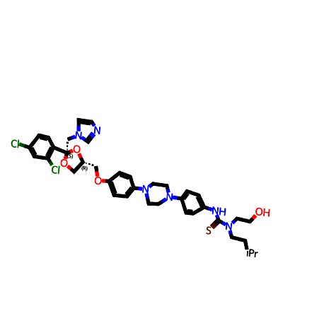 CC(C)CCN(CCO)C(=S)Nc1ccc(N2CCN(c3ccc(OC[C@@H]4CO[C@@](Cn5ccnc5)(c5ccc(Cl)cc5Cl)O4)cc3)CC2)cc1